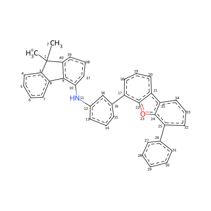 CC1(C)c2ccccc2-c2c(Nc3cccc(-c4cccc5c4oc4c(-c6ccccc6)cccc45)c3)cccc21